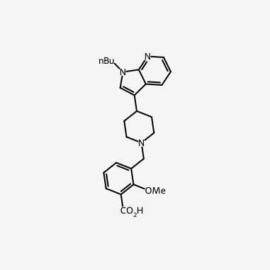 CCCCn1cc(C2CCN(Cc3cccc(C(=O)O)c3OC)CC2)c2cccnc21